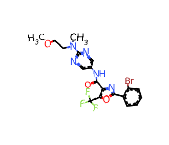 COCCN(C)c1ncc(NC(=O)c2nc(-c3ccccc3Br)oc2C(F)(F)F)cn1